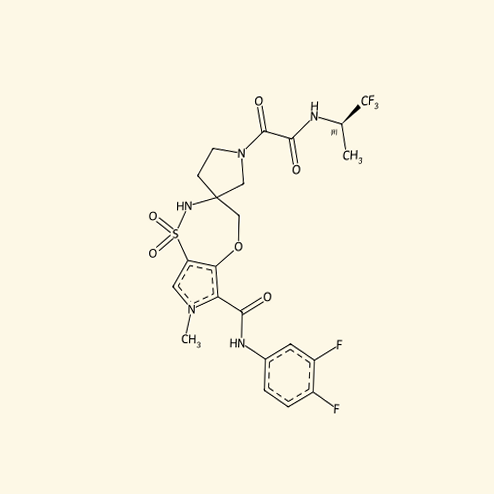 C[C@@H](NC(=O)C(=O)N1CCC2(COc3c(cn(C)c3C(=O)Nc3ccc(F)c(F)c3)S(=O)(=O)N2)C1)C(F)(F)F